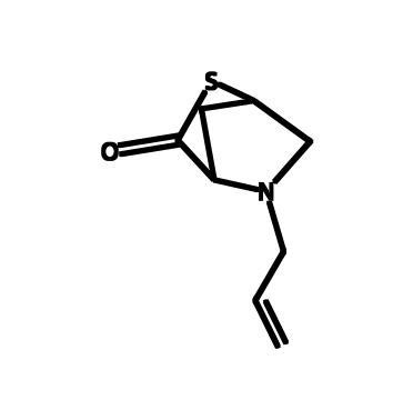 C=CCN1CC2CC1C(=O)S2